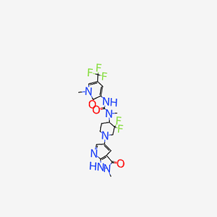 CN(C(=O)Nc1cc(C(F)(F)F)cn(C)c1=O)C1CCN(c2cnc3[nH]n(C)c(=O)c3c2)CC1(F)F